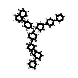 c1ccc(-c2ccc(-c3ccc(N(c4ccc(-c5ccc6oc7c(-c8ccccc8)cccc7c6c5)cc4)c4ccc(-c5cccc6ccccc56)cc4)cc3)cc2)cc1